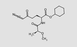 CO[C@@H](C)C(=O)N[C@@H](CCC(=O)C=[N+]=[N-])C(=O)OC1CCCCC1